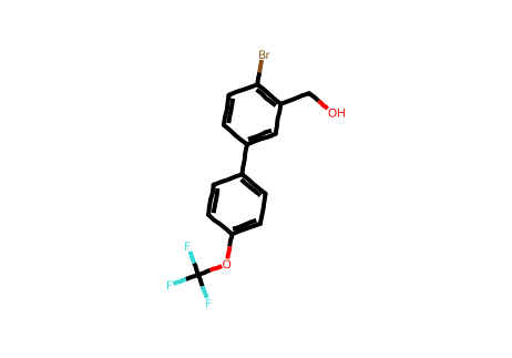 OCc1cc(-c2ccc(OC(F)(F)F)cc2)ccc1Br